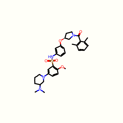 COc1ccc(N2CCCC(N(C)C)C2)cc1S(=O)(=O)Nc1cccc(O[C@H]2CCN(C(=O)c3c(C)cccc3C)C2)c1